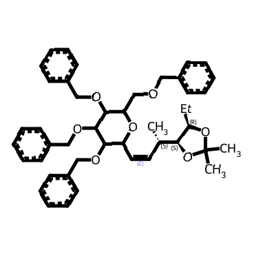 CC[C@H]1OC(C)(C)O[C@H]1[C@@H](C)/C=C\C1OC(COCc2ccccc2)C(OCc2ccccc2)C(OCc2ccccc2)C1OCc1ccccc1